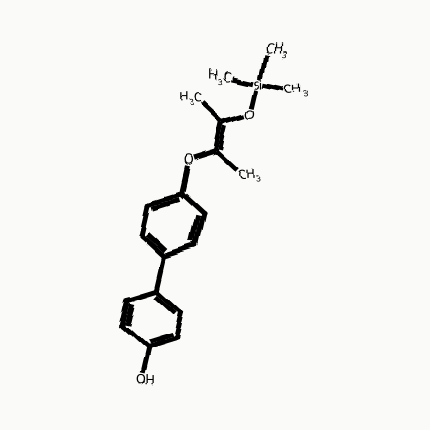 C/C(Oc1ccc(-c2ccc(O)cc2)cc1)=C(/C)O[Si](C)(C)C